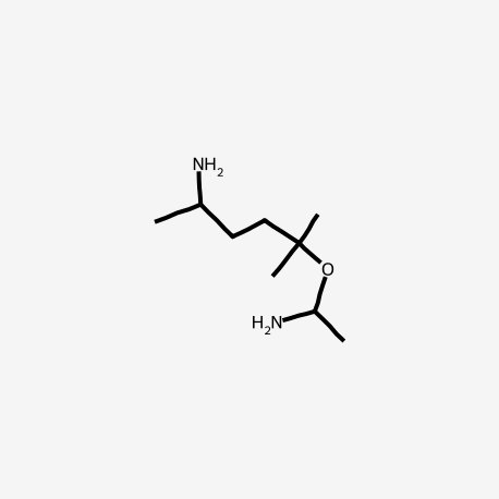 CC(N)CCC(C)(C)OC(C)N